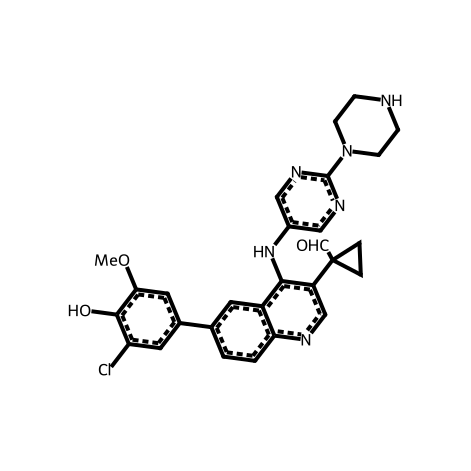 COc1cc(-c2ccc3ncc(C4(C=O)CC4)c(Nc4cnc(N5CCNCC5)nc4)c3c2)cc(Cl)c1O